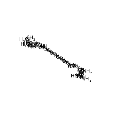 CCCCc1nc2c(N)nc3cc(CCCN4CCN(C(=O)CCOCCOCCOCCOCCOCCOCCOCCOCCNC(=O)O[C@H]5CC[C@@]6(C)C(=CC[C@H]7[C@@H]8CC[C@H]([C@H](C)CCCC(C)C)[C@@]8(C)CC[C@@H]76)C5)CC4)ccc3c2n1CC(C)(CO)CO